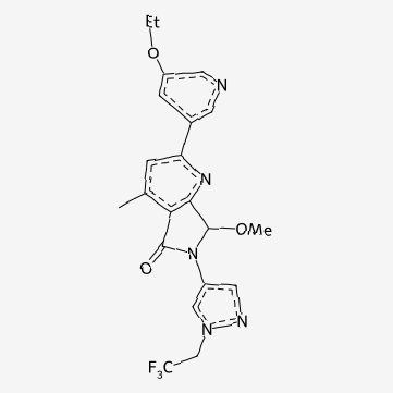 CCOc1cncc(-c2cc(C)c3c(n2)C(OC)N(c2cnn(CC(F)(F)F)c2)C3=O)c1